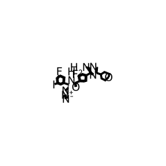 [N-]=[N+]=NC[C@@H](NC(=O)c1ccc(-c2nc(C3CCOCC3)cnc2N)cc1F)c1cc(F)cc(I)c1